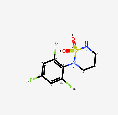 O=S1(=O)NCCCN1c1c(F)cc(F)cc1F